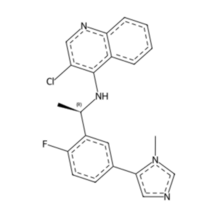 C[C@@H](Nc1c(Cl)cnc2ccccc12)c1cc(-c2cncn2C)ccc1F